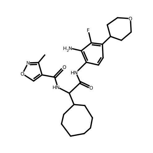 Cc1nocc1C(=O)NC(C(=O)Nc1ccc(C2CCOCC2)c(F)c1N)C1CCCCCCC1